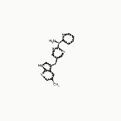 Cc1cnc2[nH]cc(Cc3cnc(C(N)c4ccccn4)nc3)c2c1